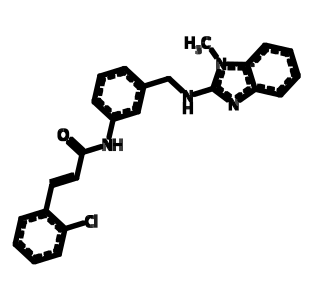 Cn1c(NCc2cccc(NC(=O)/C=C/c3ccccc3Cl)c2)nc2ccccc21